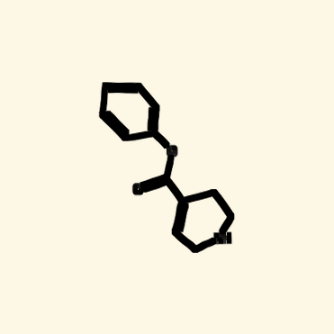 O=C(Oc1ccccc1)C1=CCNCC1